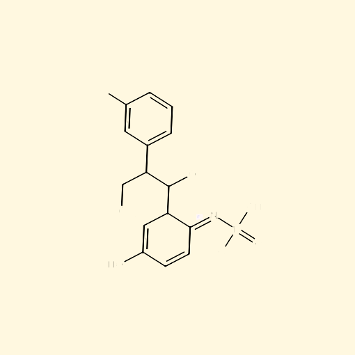 CCC(c1cccc(O)c1)C(O)C1C=C(O)C=C/C1=N\P(=O)(O)O